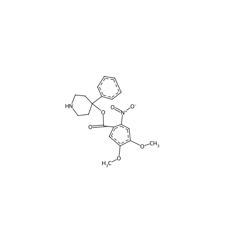 COc1cc(C(=O)OC2(c3ccccc3)CCNCC2)c([N+](=O)[O-])cc1OC